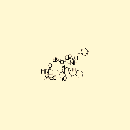 COC(=O)[C@H](C[C@@H]1CCNC1=O)NC(=O)[C@H](CC1CCCCC1)NC(=O)[C@@H](NC(=O)OCc1ccccc1)[C@@H](C)OC(C)(C)C